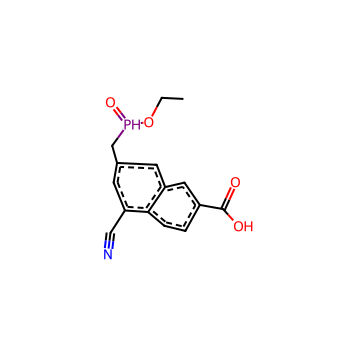 CCO[PH](=O)Cc1cc(C#N)c2ccc(C(=O)O)cc2c1